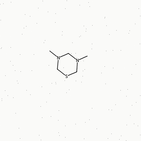 CN1CSCN(C)C1